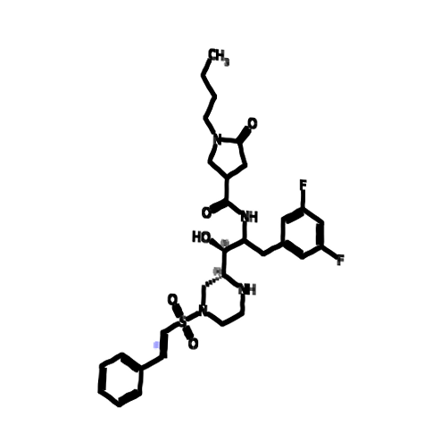 CCCCN1CC(C(=O)NC(Cc2cc(F)cc(F)c2)[C@H](O)[C@H]2CN(S(=O)(=O)/C=C/c3ccccc3)CCN2)CC1=O